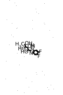 CC(O)[C@H](O)C(O)[C@H](O)c1nc2cc(F)c(F)cc2[nH]1